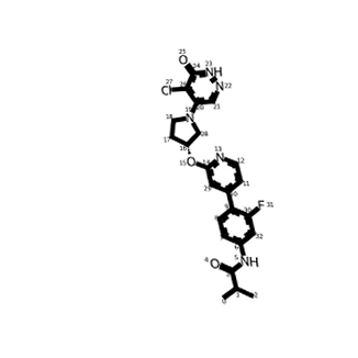 CC(C)C(=O)Nc1ccc(-c2ccnc(O[C@@H]3CCN(c4cn[nH]c(=O)c4Cl)C3)c2)c(F)c1